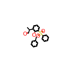 CC(C=O)c1cccc(S(=O)(=O)c2ccccc2)c1OCc1ccccc1